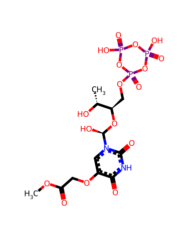 COC(=O)COc1cn([C@@H](O)O[C@H](COP2(=O)OP(=O)(O)OP(=O)(O)O2)[C@@H](C)O)c(=O)[nH]c1=O